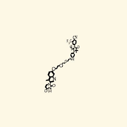 Cc1c(-n2ccc(=O)[nH]c2=O)cnc2cc(OCCOCCOCCNc3ccc(N4C(=S=O)N(c5ccc(C#N)c(C(F)(F)F)c5)C(=O)C4(C)C)cc3)ccc12